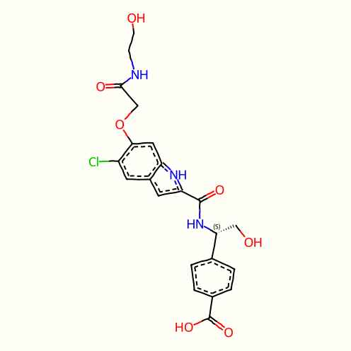 O=C(COc1cc2[nH]c(C(=O)N[C@H](CO)c3ccc(C(=O)O)cc3)cc2cc1Cl)NCCO